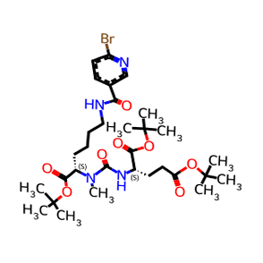 CN(C(=O)N[C@@H](CCC(=O)OC(C)(C)C)C(=O)OC(C)(C)C)[C@@H](CCCCNC(=O)c1ccc(Br)nc1)C(=O)OC(C)(C)C